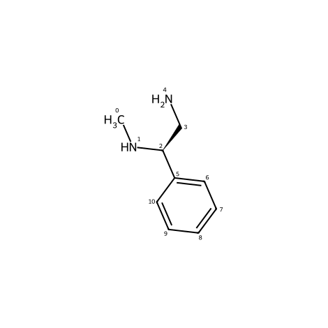 CN[C@@H](CN)c1ccccc1